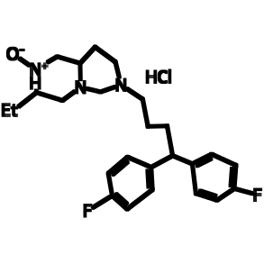 CCC1CN2CN(CCCC(c3ccc(F)cc3)c3ccc(F)cc3)CCC2C[NH+]1[O-].Cl